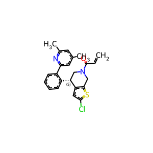 C=CC(=O)N1Cc2sc(Cl)cc2[C@H](c2ccccc2-c2cc(C)cc(C)n2)C1